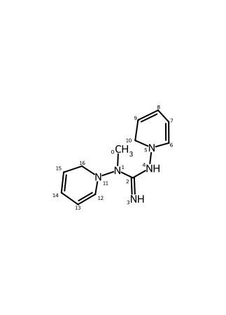 CN(C(=N)NN1C=CC=CC1)N1C=CC=CC1